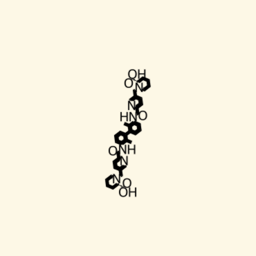 Cc1c(NC(=O)c2ccc(CN3CCCC[C@H]3C(=O)O)cn2)cccc1-c1cccc(NC(=O)c2ccc(CN3CCCC[C@H]3C(=O)O)cn2)c1C